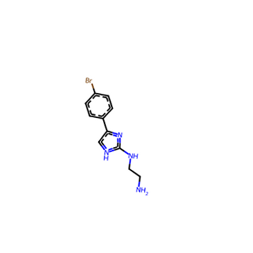 NCCNc1nc(-c2ccc(Br)cc2)c[nH]1